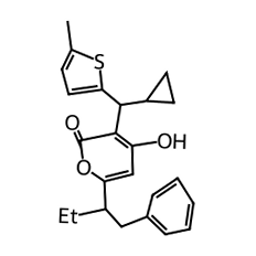 CCC(Cc1ccccc1)c1cc(O)c(C(c2ccc(C)s2)C2CC2)c(=O)o1